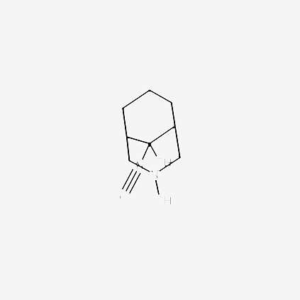 [C-]#[N+]C1(C)C2CCCC1CN(C)C2